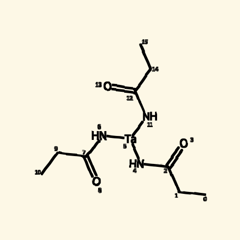 CCC(=O)[NH][Ta]([NH]C(=O)CC)[NH]C(=O)CC